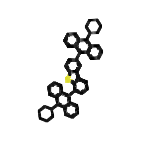 c1ccc2c(C3CCCCC3)c3ccccc3c(-c3ccc4sc5c(-c6c7ccccc7c(C7CCCCC7)c7ccccc67)cccc5c4c3)c2c1